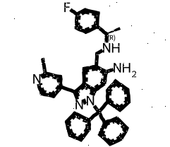 Cc1cc(-c2nn(C(c3ccccc3)(c3ccccc3)c3ccccc3)c3cc(N)c(CN[C@H](C)c4ccc(F)cc4)cc23)ccn1